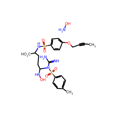 CC#CCOc1ccc(S(=O)(=O)NC(CCC(NO)N(C(=N)N)S(=O)(=O)c2ccc(C)cc2)C(=O)O)cc1.NO